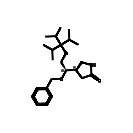 CC(C)[Si](OC[C@@H](OCc1ccccc1)[C@H]1CNC(=O)C1)(C(C)C)C(C)C